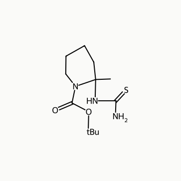 CC(C)(C)OC(=O)N1CCCCC1(C)NC(N)=S